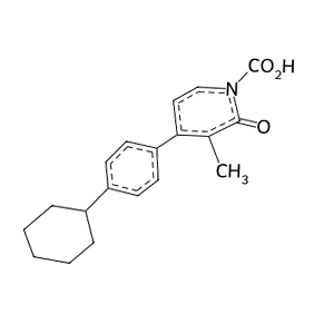 Cc1c(-c2ccc(C3CCCCC3)cc2)ccn(C(=O)O)c1=O